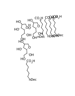 CCCCCCCCCCCCCCCC(=O)O.CCCCCCCCCCCCCCCC(=O)O.CCCCCCCCCCCCCCCC(=O)O.CCCCCCCCCCCCCCCC(=O)O.CCCCCCCCCCCCCCCC(=O)O.OC[C@@H](O)[C@H]1OC[C@H](O)[C@H]1O.OC[C@@H](O)[C@H]1OC[C@H](O)[C@H]1O.OC[C@@H](O)[C@H]1OC[C@H](O)[C@H]1O